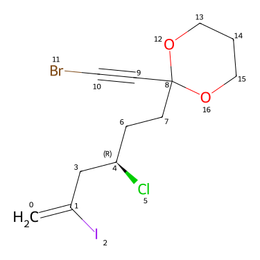 C=C(I)C[C@H](Cl)CCC1(C#CBr)OCCCO1